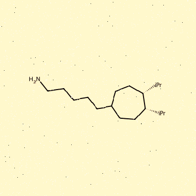 CC(C)[C@H]1CCC(CCCCCN)CC[C@H]1C(C)C